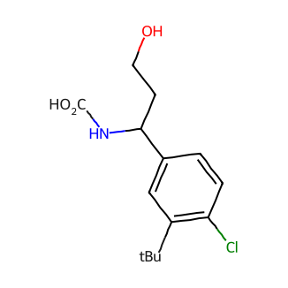 CC(C)(C)c1cc(C(CCO)NC(=O)O)ccc1Cl